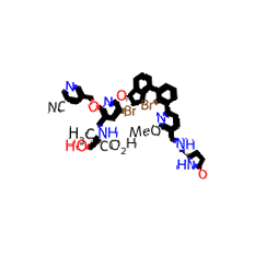 COc1nc(-c2cccc(-c3cccc4c3CC[C@@H]4Oc3nc(OCc4cncc(C#N)c4)c(CNC(C)(CO)C(=O)O)cc3Br)c2Br)ccc1CNC[C@@H]1CCC(=O)N1